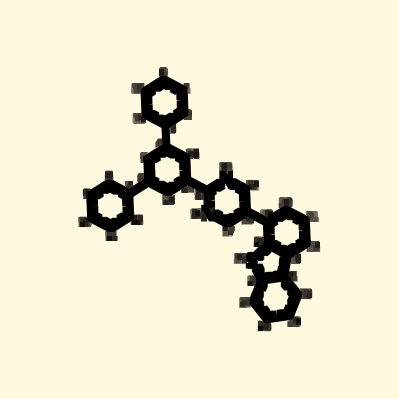 c1ccc(-c2cc(-c3ccccc3)cc(-c3ncc(-c4cccc5c4sc4ccccc45)cn3)c2)cc1